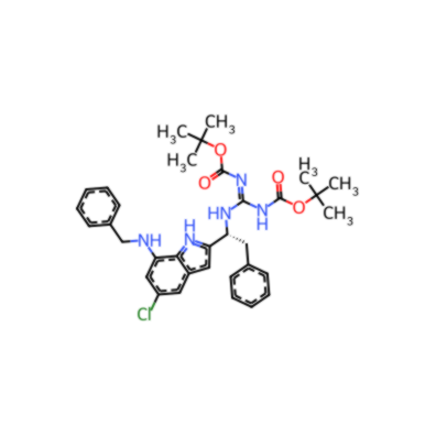 CC(C)(C)OC(=O)/N=C(/NC(=O)OC(C)(C)C)N[C@H](Cc1ccccc1)c1cc2cc(Cl)cc(NCc3ccccc3)c2[nH]1